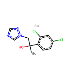 CCCCC(O)(Cn1cncn1)c1ccc(Cl)cc1Cl.[Cu]